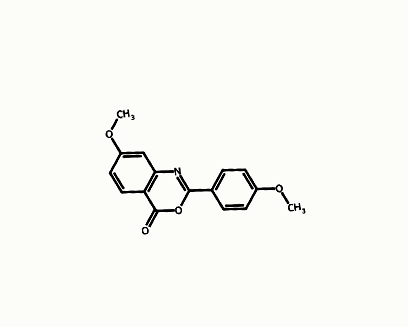 COc1ccc(-c2nc3cc(OC)ccc3c(=O)o2)cc1